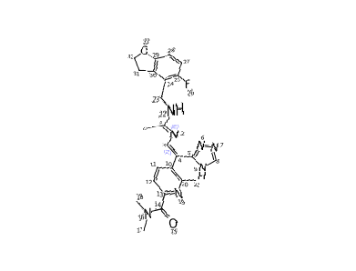 C/C(=N\C=C(/c1nnc[nH]1)c1ccc(C(=O)N(C)C)nc1C)NCc1c(F)ccc2c1CCO2